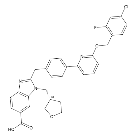 O=C(O)c1ccc2nc(Cc3ccc(-c4cccc(OCc5ccc(Cl)cc5F)n4)cc3)n(C[C@@H]3CCOC3)c2c1